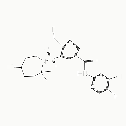 CC1(C)CCC(O)CCN1S(=O)(=O)c1cc(C(=O)Nc2ccc(F)c(Cl)c2)ccc1CF